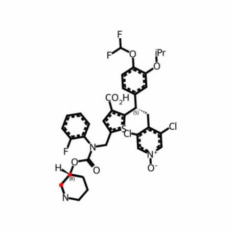 CC(C)Oc1cc([C@H](Cc2c(Cl)c[n+]([O-])cc2Cl)c2sc(CN(C(=O)O[C@H]3CN4CCC3CC4)c3ccccc3F)cc2C(=O)O)ccc1OC(F)F